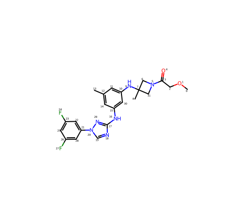 COCC(=O)N1CC(C)(Nc2cc(C)cc(Nc3ncn(-c4cc(F)cc(F)c4)n3)c2)C1